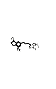 CCc1cc(CCC[C@H](C)N)cc2c1CCC2=O